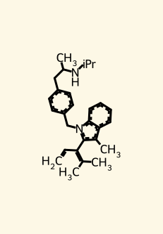 C=CC(=C(C)C)c1c(C)c2ccccc2n1Cc1ccc(CC(C)NC(C)C)cc1